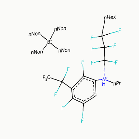 CCCCCCC(F)(F)C(F)(F)C(F)(F)[NH+](CCC)c1cc(F)c(F)c(C(F)(F)C(F)(F)F)c1F.CCCCCCCCC[B-](CCCCCCCCC)(CCCCCCCCC)CCCCCCCCC